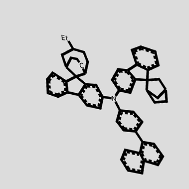 CCC1CCC2CCCC(C1)C21c2ccccc2-c2ccc(N(c3ccc(-c4cccc5ccccc45)cc3)c3ccc4c(c3)C3(CC5CCC3C5)c3ccccc3-4)cc21